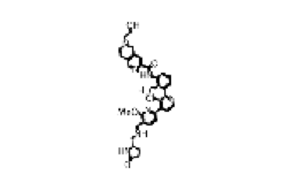 COc1nc(-c2ccnc(-c3cccc(NC(=O)c4cc5c(cn4)CCN(CCO)C5)c3C)c2Cl)ccc1CNC[C@H]1CCC(=O)N1